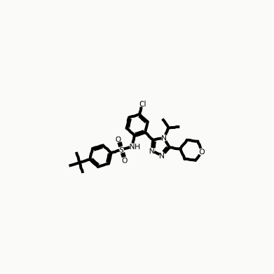 CC(C)n1c(-c2cc(Cl)ccc2NS(=O)(=O)c2ccc(C(C)(C)C)cc2)nnc1C1CCOCC1